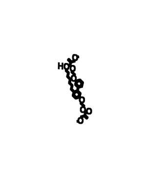 C=C(COC)C(=O)OCCOc1ccc(CCCCCCC)c(-c2cccc(OCCOC(O)C(=C)COC)c2)c1